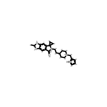 CC1Oc2cc3c(cc2O1)C1(CC1)N(CCC1CCN(Cc2ccc[nH]2)CC1)C3=O